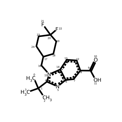 CC(C)(C)c1nc2cc(C(=O)O)ccc2n1CC1CCC(F)(F)CC1